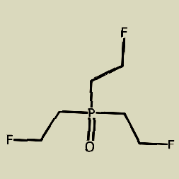 O=P(CCF)(CCF)CCF